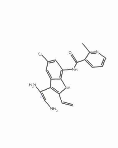 C=Cc1[nH]c2c(NC(=O)c3cccnc3C)cc(Cl)cc2c1/C(N)=C\N